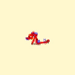 COCCOCCOCCOCCN(Cc1ccccc1C(=O)Nc1nc2c(ncn2[C@@H]2O[C@@H]3CO[P@@](=O)(S)O[C@H]4C[C@H](Oc5ccncn5)C[C@@H]4CO[P@@](=O)(S)O[C@@H]2[C@@H]3O)c(=O)[nH]1)C(=O)OCc1ccc(NC(=O)[C@H](C)NC(=O)[C@@H](NC(=O)CCOCCOCCNC(=O)OC[C@@H]2[C@@H]3CCC#CCC[C@@H]32)C(C)C)cc1